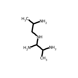 CC(N)CNC(N)C(C)N